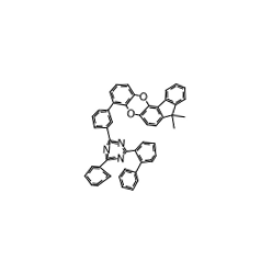 CC1(C)c2ccccc2-c2c1ccc1c2Oc2cccc(-c3cccc(-c4nc(-c5ccccc5)nc(-c5ccccc5-c5ccccc5)n4)c3)c2O1